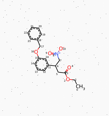 CCOC(=O)CC(C[N+](=O)[O-])c1cccc(OCc2ccccc2)c1